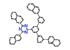 c1cc(-c2cc(-c3cccc(-c4ccc5ccccc5c4)c3)cc(-c3nc(-c4ccc5ccccc5c4)nc(-c4ccc5ccccc5c4)n3)c2)cc(-c2ccc3ccccc3c2)c1